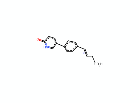 O=C(O)C/C=C/c1ccc(-c2ccc(=O)[nH]c2)cc1